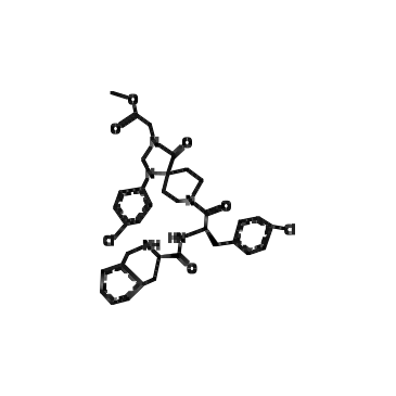 COC(=O)CN1CN(c2ccc(Cl)cc2)C2(CCN(C(=O)[C@@H](Cc3ccc(Cl)cc3)NC(=O)[C@H]3Cc4ccccc4CN3)CC2)C1=O